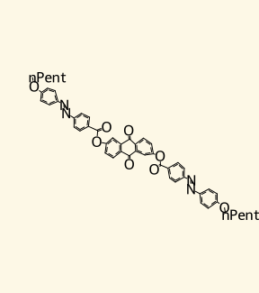 CCCCCOc1ccc(N=Nc2ccc(C(=O)Oc3ccc4c(c3)C(=O)c3ccc(OC(=O)c5ccc(N=Nc6ccc(OCCCCC)cc6)cc5)cc3C4=O)cc2)cc1